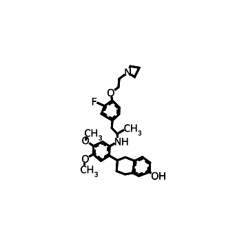 COc1cc(NC(C)Cc2ccc(OCCN3CCC3)c(F)c2)c(C2CCc3cc(O)ccc3C2)cc1OC